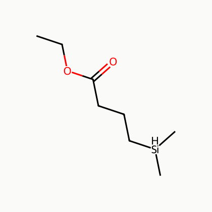 CCOC(=O)CCC[SiH](C)C